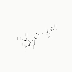 C[C@H]1[C@@H](O)[C@H](n2cnc3c(=O)[nH]c(N)nc32)O[C@@H]1COP(=O)(O)OP(=O)(O)O